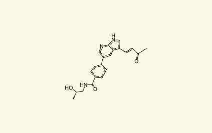 CC(=O)/C=C/c1c[nH]c2ncc(-c3ccc(C(=O)NC[C@@H](C)O)cc3)cc12